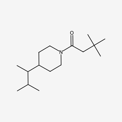 CC(C)C(C)C1CCN(C(=O)CC(C)(C)C)CC1